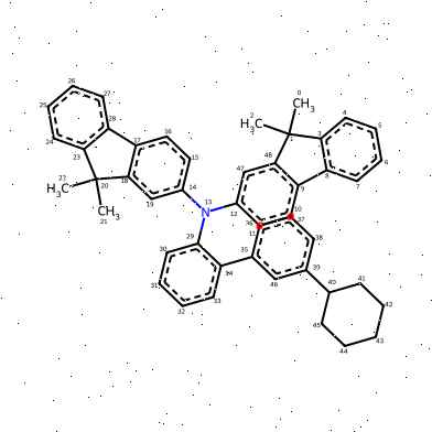 CC1(C)c2ccccc2-c2ccc(N(c3ccc4c(c3)C(C)(C)c3ccccc3-4)c3ccccc3-c3cccc(C4CCCCC4)c3)cc21